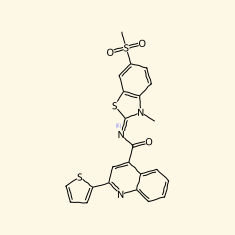 Cn1/c(=N\C(=O)c2cc(-c3cccs3)nc3ccccc23)sc2cc(S(C)(=O)=O)ccc21